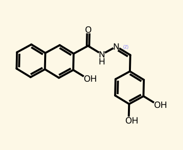 O=C(N/N=C\c1ccc(O)c(O)c1)c1cc2ccccc2cc1O